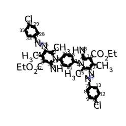 CCOC(=O)c1c(C)c(/N=N/c2ccc(Cl)cc2)c(C)n(-c2ccc(-n3c(C)c(/N=N/c4ccc(Cl)cc4)c(C)c(C(=O)OCC)c3=N)cc2)c1=N